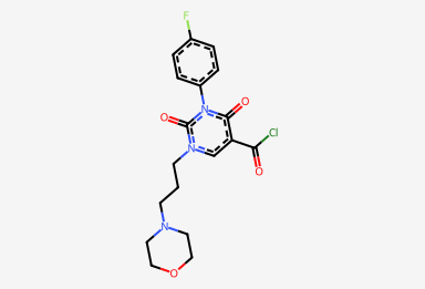 O=C(Cl)c1cn(CCCN2CCOCC2)c(=O)n(-c2ccc(F)cc2)c1=O